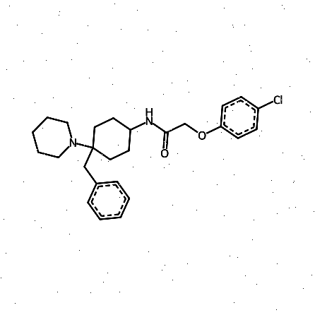 O=C(COc1ccc(Cl)cc1)NC1CCC(Cc2ccccc2)(N2CCCCC2)CC1